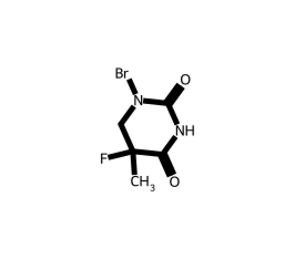 CC1(F)CN(Br)C(=O)NC1=O